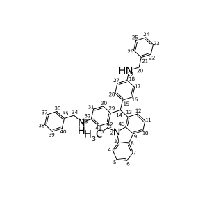 CCn1c2ccccc2c2cccc(C(c3ccc(NCc4ccccc4)cc3)c3ccc(NCc4ccccc4)cc3)c21